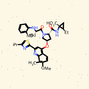 CC[C@@H]1C[C@]1(NC(=O)[C@@H]1C[C@@H](Oc2cc(-c3nc(C(C)C)cs3)nc3c(C)c(OC)ccc23)CN1C(=O)[C@@H](Nc1ccccc1N=O)C(C)(C)C)C(=O)O